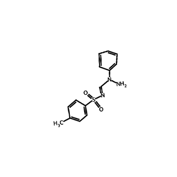 Cc1ccc(S(=O)(=O)N=CN(N)c2ccccc2)cc1